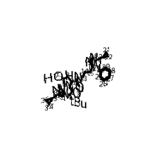 CC(C)(C)[C@@H](C(=O)N1C[C@H](O)C[C@H]1C(=O)NCCCc1nnc(C2CC2)n1-c1ccccc1)n1cc(C2CC2)nn1